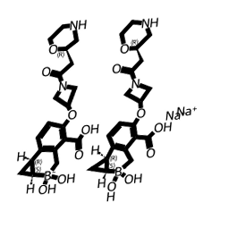 O=C(O)c1c(OC2CN(C(=O)C[C@@H]3CNCCO3)C2)ccc2c1C[B-](O)(O)[C@H]1C[C@@H]21.O=C(O)c1c(OC2CN(C(=O)C[C@@H]3CNCCO3)C2)ccc2c1C[B-](O)(O)[C@H]1C[C@@H]21.[Na+].[Na+]